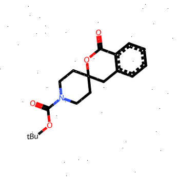 CC(C)(C)OC(=O)N1CCC2(CC1)Cc1ccccc1C(=O)O2